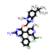 Cc1cc(-c2c(OCc3nc4cc(C(C)(C)C(=O)O)ccc4n3C)nc(N)nc2-c2ccc(F)cc2)cc(C(F)F)n1